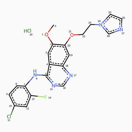 COc1cc2c(Nc3ccc(Cl)cc3F)ncnc2cc1OCCn1ccnc1.Cl